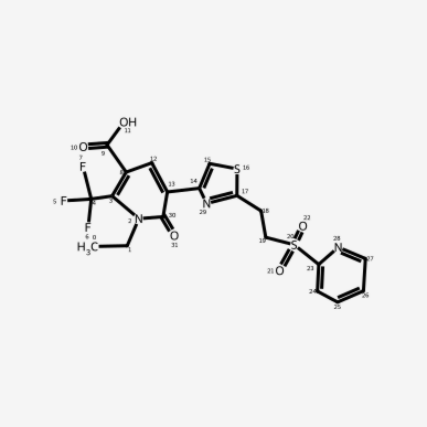 CCn1c(C(F)(F)F)c(C(=O)O)cc(-c2csc(CCS(=O)(=O)c3ccccn3)n2)c1=O